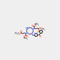 COC(=O)CCC(C(=O)OC)N1CCNCCN(C(CCC(=O)OC)C(=O)OC)CCN(Cc2ccc3c(=O)c4ccccc4sc3n2)CC1